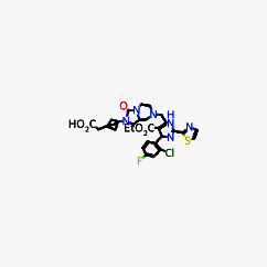 CCOC(=O)C1=C(CN2CCN3C(=O)N(C45CC(CC(=O)O)(C4)C5)CC3C2)NC(c2nccs2)=NC1c1ccc(F)cc1Cl